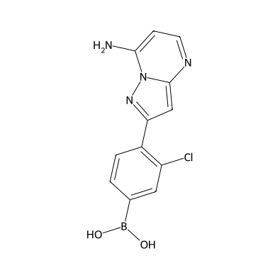 Nc1ccnc2cc(-c3ccc(B(O)O)cc3Cl)nn12